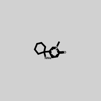 CNC1(c2ccc(=O)n(C)c2)CCCCC1